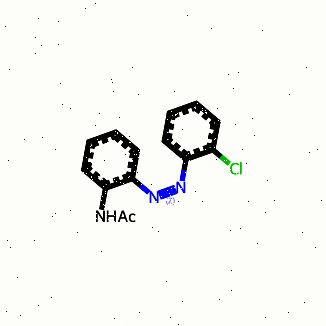 CC(=O)Nc1ccccc1/N=N\c1ccccc1Cl